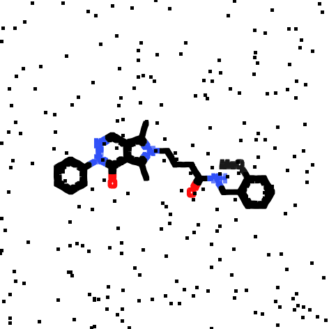 COc1ccccc1CNC(=O)CCCn1c(C)c2cnn(-c3ccccc3)c(=O)c2c1C